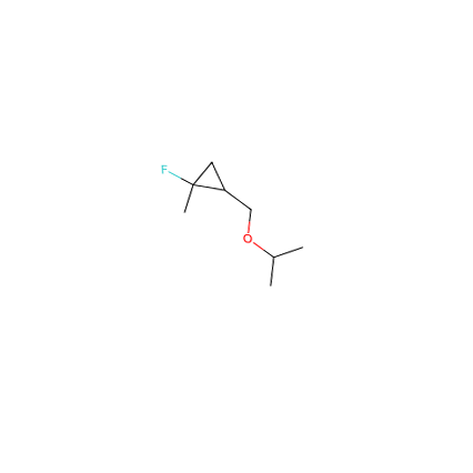 CC(C)OCC1CC1(C)F